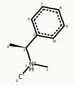 [CH2-][NH+](C)[C@@H](C)c1ccccc1